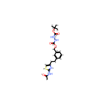 CC(=O)Nc1nc(CCc2cccc(COC(=O)NNC(=O)OC(C)(C)C)c2)cs1